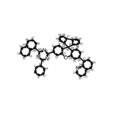 c1ccc(-c2nc(-c3ccc4c(c3)Oc3cc(-c5cccc6cccnc56)ccc3C43c4ccccc4-c4ccccc43)nc(-c3cccc4ccccc34)n2)cc1